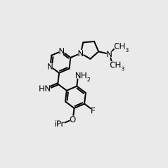 CC(C)Oc1cc(C(=N)c2cc(N3CCC(N(C)C)C3)ncn2)c(N)cc1F